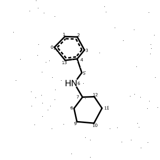 [c]1cccc(CNC2CCCCC2)c1